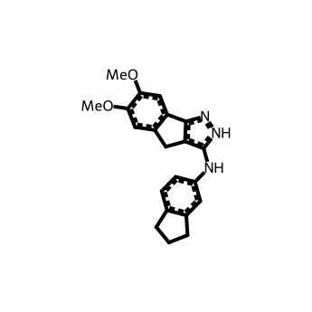 COc1cc2c(cc1OC)-c1n[nH]c(Nc3ccc4c(c3)CCC4)c1C2